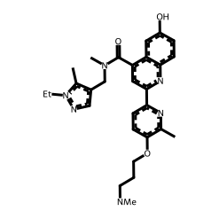 CCn1ncc(CN(C)C(=O)c2cc(-c3ccc(OCCCNC)c(C)n3)nc3ccc(O)cc23)c1C